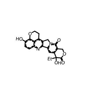 CCC1(O)C(=O)OCc2c1cc1n(c2=O)Cc2c-1nc1ccc(O)c3c1c2CCO3